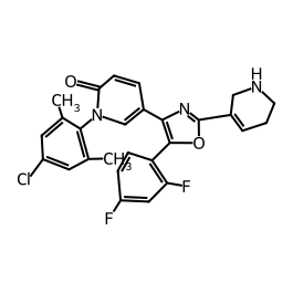 Cc1cc(Cl)cc(C)c1-n1cc(-c2nc(C3=CCCNC3)oc2-c2ccc(F)cc2F)ccc1=O